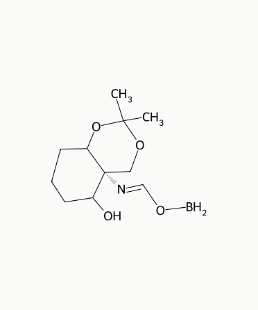 BOC=N[C@@]12COC(C)(C)OC1CCCC2O